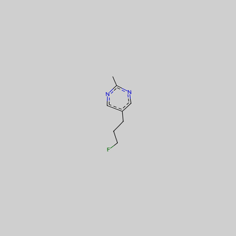 Cc1ncc(CCCF)cn1